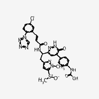 Cn1nc(CC(NC(=O)C=Cc2cc(Cl)ccc2-n2cnnn2)c2cc(-c3ccc(NC(=O)O)cc3)c(=O)[nH]n2)cc1[S+](C)[O-]